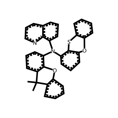 CC1(C)c2ccccc2Oc2c(N(c3cccc4c3Sc3ccccc3O4)c3cccc4cccnc34)cccc21